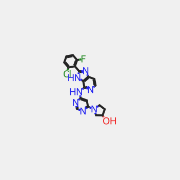 OC1CCN(c2cc(Nc3nccc4nc(-c5c(F)cccc5Cl)[nH]c34)ncn2)C1